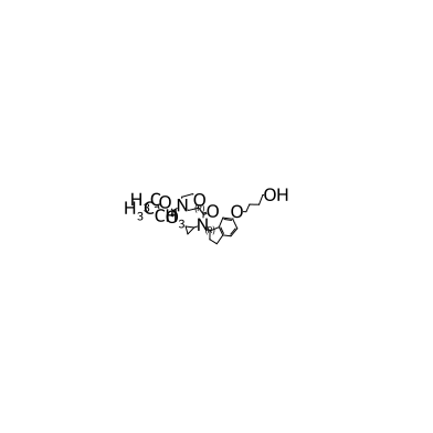 CC(C)(C)OC(=O)N1CCO[C@@H](C(=O)N(C2CC2)[C@@H]2CCc3ccc(OCCCCO)cc32)C1